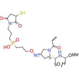 C=CC(=O)N1C/C(=N\OCCCP(=O)(O)CCCN2C(=O)CC(S)C2=O)C[C@H]1C(NC(C)OC)S(=O)(=O)O